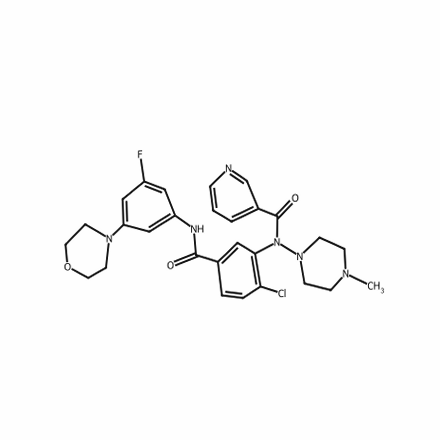 CN1CCN(N(C(=O)c2cccnc2)c2cc(C(=O)Nc3cc(F)cc(N4CCOCC4)c3)ccc2Cl)CC1